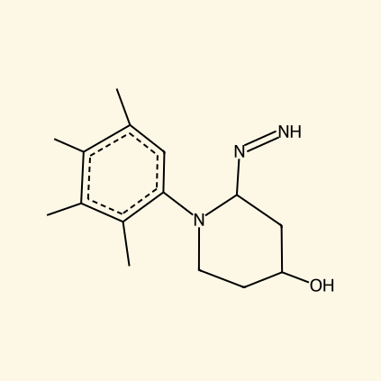 Cc1cc(N2CCC(O)CC2N=N)c(C)c(C)c1C